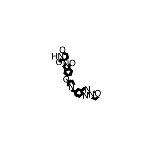 O=C1CCC(N2Cc3cc(O[C@H]4CCN(Cc5ccc6nc(N7CCCOC7)ncc6c5)C4)ccc3C2=O)C(=O)N1